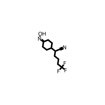 N#CC(CCCC(F)(F)F)C1CCC(=NO)CC1